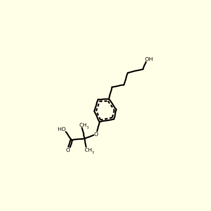 CC(C)(Oc1ccc(CCCCO)cc1)C(=O)O